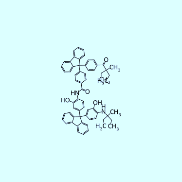 CCC(C)(CC)Nc1ccc(C2(c3ccc(NC(=O)c4ccc(C5(c6ccc(C(=O)C(C)(CC)CC)cc6)c6ccccc6-c6ccccc65)cc4)c(O)c3)c3ccccc3-c3ccccc32)cc1O